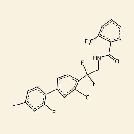 O=C(NCC(F)(F)c1ccc(-c2ccc(F)cc2F)cc1Cl)c1ccccc1C(F)(F)F